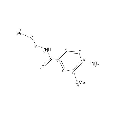 COc1cc(C(=O)NCCC(C)C)ccc1N